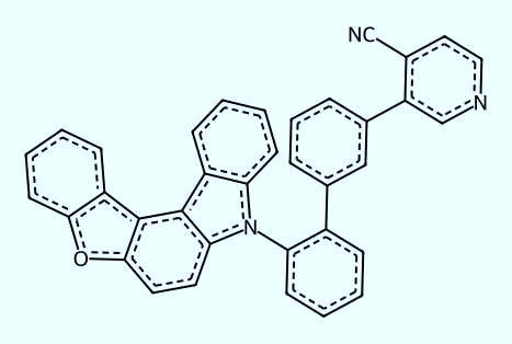 N#Cc1ccncc1-c1cccc(-c2ccccc2-n2c3ccccc3c3c4c(ccc32)oc2ccccc24)c1